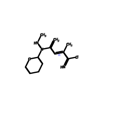 C=C(/C=C(\C)C(=N)Cl)N(NC)C1CCCCO1